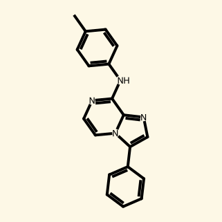 Cc1ccc(Nc2nccn3c(-c4ccccc4)cnc23)cc1